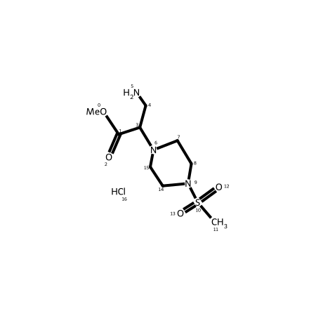 COC(=O)C(CN)N1CCN(S(C)(=O)=O)CC1.Cl